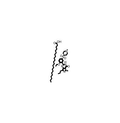 CCCCCCCCCCCCCCCCCCCCCC(=O)O.CCCc1nn(C)c2c(=O)[nH]c(-c3cc(S(=O)(=O)N4CCN(C)CC4)ccc3OCC)nc12